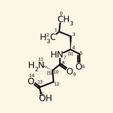 CC(C)C[C@@H](C=O)NC(=O)[C@@H](N)CC(=O)O